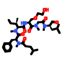 CC[C@H](C)[C@@H](C(=O)N[C@@H](COCCO)C(=O)N(C)CC(=O)N(C)[C@H](C=O)CC(C)C)N(C)C(=O)[C@H](Cc1ccccc1)N(C)C(=O)CCC(C)C